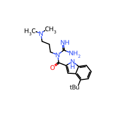 CN(C)CCCN(C(=N)N)C(=O)c1cc2c(C(C)(C)C)cccc2[nH]1